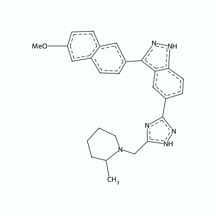 COc1ccc2cc(-c3n[nH]c4ccc(-c5n[nH]c(CN6CCCCC6C)n5)cc34)ccc2c1